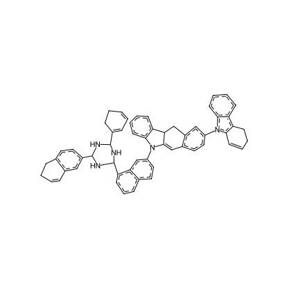 C1=CCCC(C2NC(c3ccc4c(c3)C=CCC4)NC(c3cccc4ccc(N5C6=Cc7ccc(-n8c9c(c%10ccccc%108)CCC=C9)cc7CC6c6ccccc65)cc34)N2)=C1